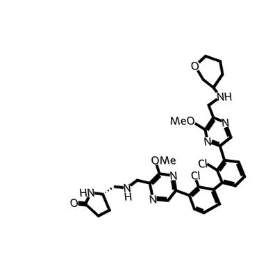 COc1nc(-c2cccc(-c3cccc(-c4cnc(CNC5CCCOC5)c(OC)n4)c3Cl)c2Cl)cnc1CNC[C@@H]1CCC(=O)N1